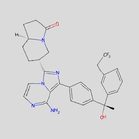 C[C@@](O)(c1ccc(-c2nc([C@@H]3CC[C@H]4CCC(=O)N4C3)n3ccnc(N)c23)cc1)c1cccc(CC(F)(F)F)c1